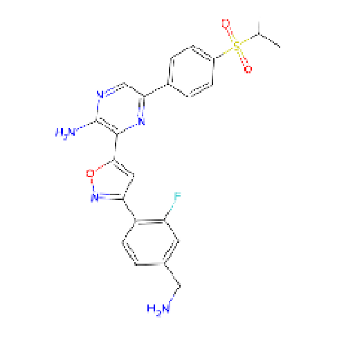 CC(C)S(=O)(=O)c1ccc(-c2cnc(N)c(-c3cc(-c4ccc(CN)cc4F)no3)n2)cc1